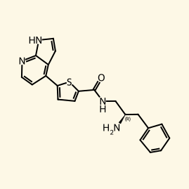 N[C@@H](CNC(=O)c1ccc(-c2ccnc3[nH]ccc23)s1)Cc1ccccc1